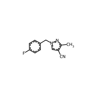 Cc1nn(Cc2ccc(F)cc2)cc1C#N